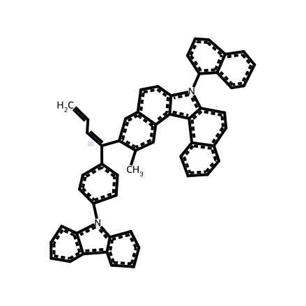 C=C/C=C(/c1ccc(-n2c3ccccc3c3ccccc32)cc1)c1cc2ccc3c(c2cc1C)c1c2ccccc2ccc1n3-c1cccc2ccccc12